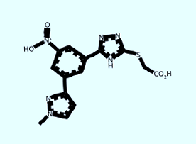 Cn1ccc(-c2cc(-c3nnc(SCC(=O)O)[nH]3)cc([N+](=O)O)c2)n1